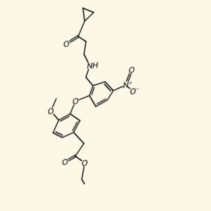 CCOC(=O)Cc1ccc(OC)c(Oc2ccc([N+](=O)[O-])cc2CNCCC(=O)C2CC2)c1